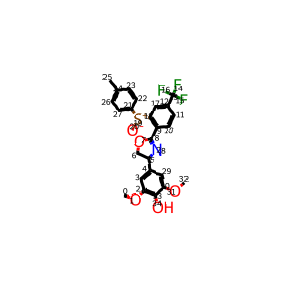 COc1cc(C2COC(c3ccc(C(F)(F)F)cc3[S@@+]([O-])c3ccc(C)cc3)=N2)cc(OC)c1O